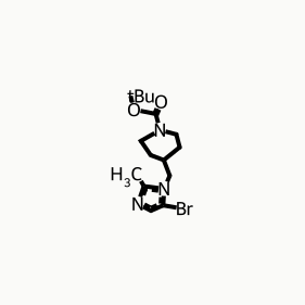 Cc1ncc(Br)n1CC1CCN(C(=O)OC(C)(C)C)CC1